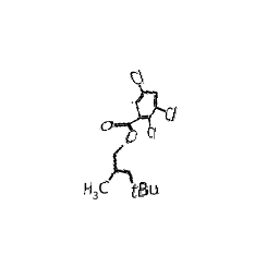 CC(COC(=O)c1[c]c(Cl)cc(Cl)c1Cl)CC(C)(C)C